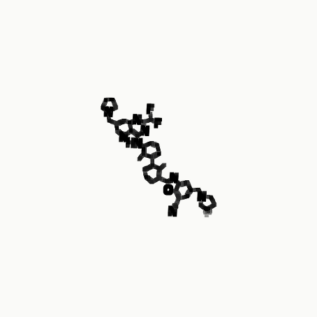 Cc1c(Nc2nc(C(F)F)nc3cc(CN4CCCC4)cnc23)cccc1-c1cccc(-c2nc3cc(CN4CC[C@H](C)C4)cc(C#N)c3o2)c1C